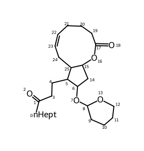 CCCCCCCC(=O)CCC1C(OC2CCCCO2)CC2OC(=O)CCCC=CCC21